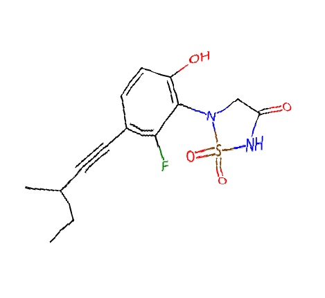 CCC(C)C#Cc1ccc(O)c(N2CC(=O)NS2(=O)=O)c1F